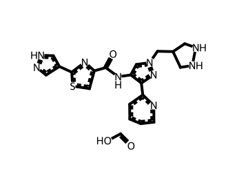 O=C(Nc1cn(CC2CNNC2)nc1-c1ccccn1)c1csc(-c2cn[nH]c2)n1.O=CO